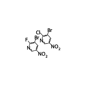 O=[N+]([O-])c1cnc(Cl)c(Br)c1.O=[N+]([O-])c1cnc(F)c(Br)c1